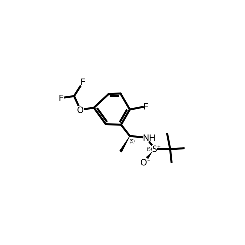 C[C@H](N[S@+]([O-])C(C)(C)C)c1cc(OC(F)F)ccc1F